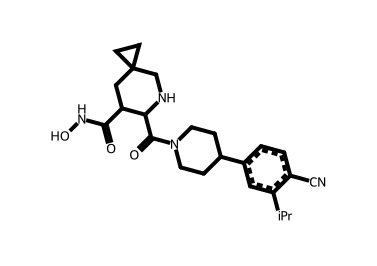 CC(C)c1cc(C2CCN(C(=O)C3NCC4(CC4)CC3C(=O)NO)CC2)ccc1C#N